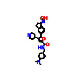 CN(C)c1ccc(CNC(=O)c2cc(-c3ccncc3)c(-c3ccc4c(c3)CCC4=NO)o2)cc1